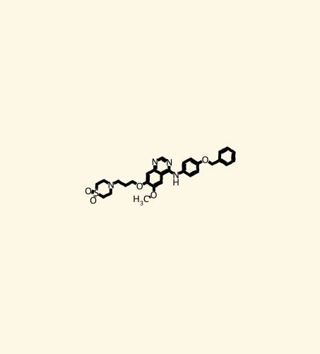 COc1cc2c(Nc3ccc(OCc4ccccc4)cc3)ncnc2cc1OCCCN1CCS(=O)(=O)CC1